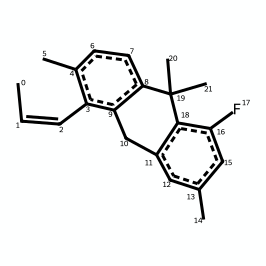 C/C=C\c1c(C)ccc2c1Cc1cc(C)cc(F)c1C2(C)C